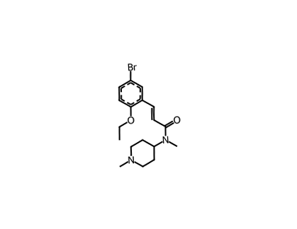 CCOc1ccc(Br)cc1C=CC(=O)N(C)C1CCN(C)CC1